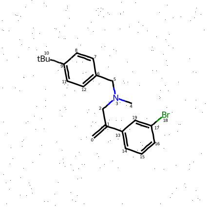 C=C(CN(C)Cc1ccc(C(C)(C)C)cc1)c1cccc(Br)c1